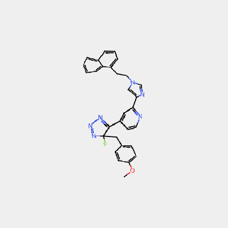 COc1ccc(CC2(F)N=NN=C2c2ccnc(-c3cn(CCc4cccc5ccccc45)cn3)c2)cc1